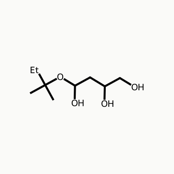 CCC(C)(C)OC(O)CC(O)CO